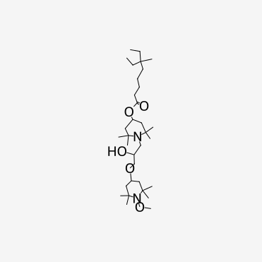 CCC(C)(CC)CCCCC(=O)OC1CC(C)(C)N(CC(O)COC2CC(C)(C)N(OC)C(C)(C)C2)C(C)(C)C1